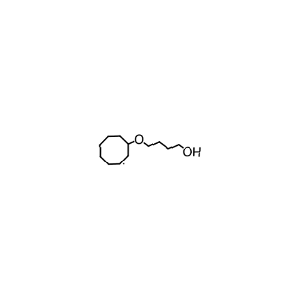 OCCCCOC1C[CH]CCCCC1